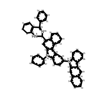 C1=CC2=C(CC1)NC(c1cc3c(c4ccccc14)c1cc(-n4c5ccccc5c5cc6ccccc6cc54)ccc1n3-c1ccccc1)N=C2c1ccccc1